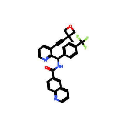 CC1(C#Cc2cccnc2C(NC(=O)c2ccc3ncccc3c2)c2ccc(C(F)(F)F)cc2)COC1